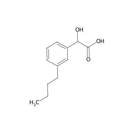 CCCCc1cccc(C(O)C(=O)O)c1